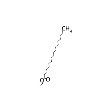 C.CCCCCCCCCCCCCCCCCC(=O)OCC